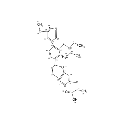 CCN(Cc1cc(C2CCc3ccc(CC(C)C(=O)O)cc3O2)ccc1-c1ccnc(OC)c1)C(C)C